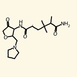 CC(C(N)=O)C(C)(C)C[CH]C(=O)NC1C(=O)COC1CN1CCCC1